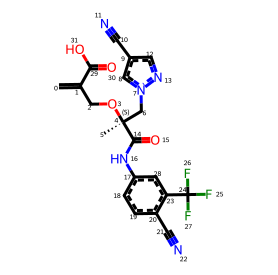 C=C(CO[C@@](C)(Cn1cc(C#N)cn1)C(=O)Nc1ccc(C#N)c(C(F)(F)F)c1)C(=O)O